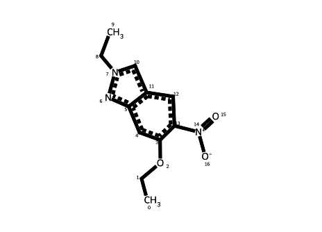 CCOc1cc2nn(CC)cc2cc1[N+](=O)[O-]